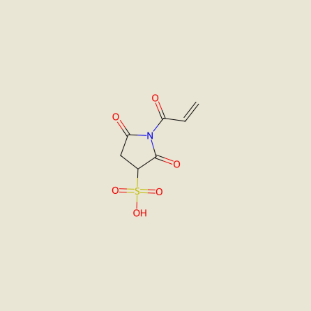 C=CC(=O)N1C(=O)CC(S(=O)(=O)O)C1=O